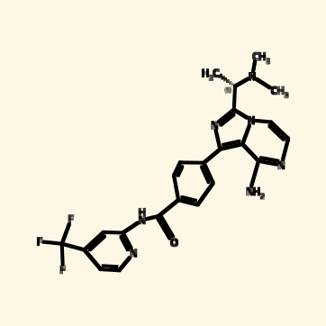 C[C@@H](c1nc(-c2ccc(C(=O)Nc3cc(C(F)(F)F)ccn3)cc2)c2c(N)nccn12)N(C)C